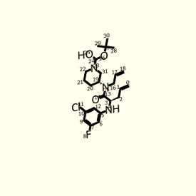 C=CC[C@@H](Nc1cc(F)cc(Cl)c1)C(=O)N(CC=C)[C@@H]1CCCN(C(O)OC(C)(C)C)C1